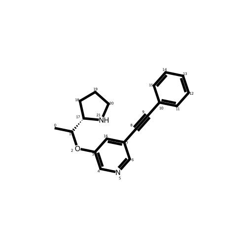 CC(Oc1cncc(C#Cc2ccccc2)c1)[C@@H]1CCCN1